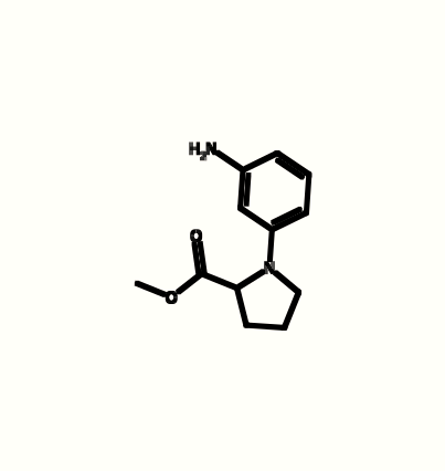 COC(=O)C1CCCN1c1cccc(N)c1